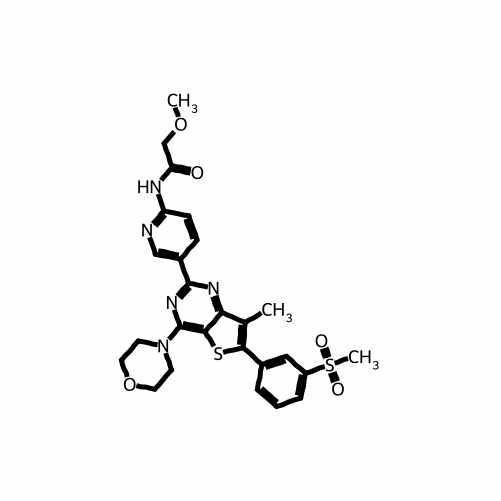 COCC(=O)Nc1ccc(-c2nc(N3CCOCC3)c3sc(-c4cccc(S(C)(=O)=O)c4)c(C)c3n2)cn1